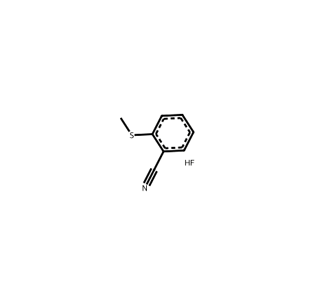 CSc1ccccc1C#N.F